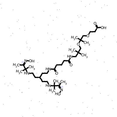 C/C(=N/O)C(C)(C)NCCC(CCNC(=O)CCCC(=O)NCC(C)(C)COC(C)(C)COCCC(=O)O)CCNC(C)(C)/C(C)=N\O